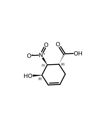 O=C(O)[C@@H]1CC=C[C@@H](O)[C@H]1[N+](=O)[O-]